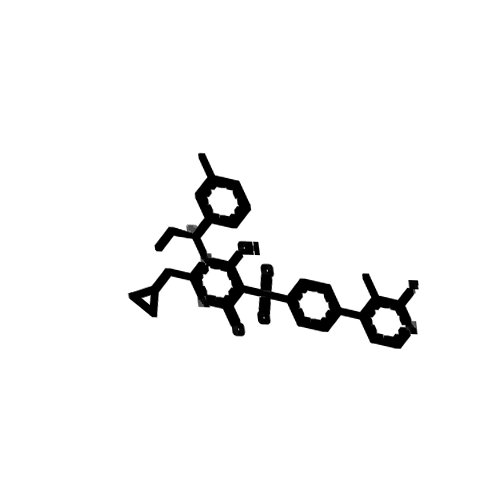 CC[C@@H](c1cccc(C)c1)n1c(CC2CC2)nc(=O)c(S(=O)(=O)c2ccc(-c3ccnc(F)c3C)cc2)c1O